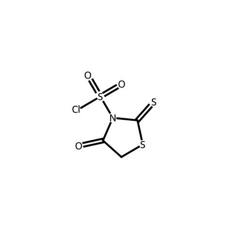 O=C1CSC(=S)N1S(=O)(=O)Cl